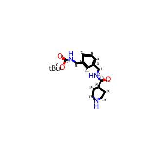 CC(C)(C)OC(=O)NCc1cccc(CNC(=O)C2CCNCC2)c1